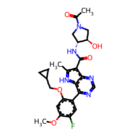 COc1cc(OCC2CC2)c(-c2ncnc3c(C(=O)N[C@@H]4CN(C(C)=O)C[C@H]4O)c(C)[nH]c23)cc1F